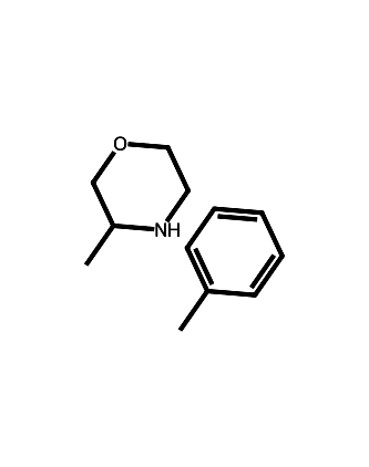 CC1COCCN1.Cc1ccccc1